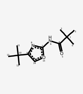 CC(C)(C)C(=O)Nc1nc(C(C)(C)C)co1